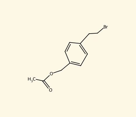 CC(=O)OCc1ccc(CCBr)cc1